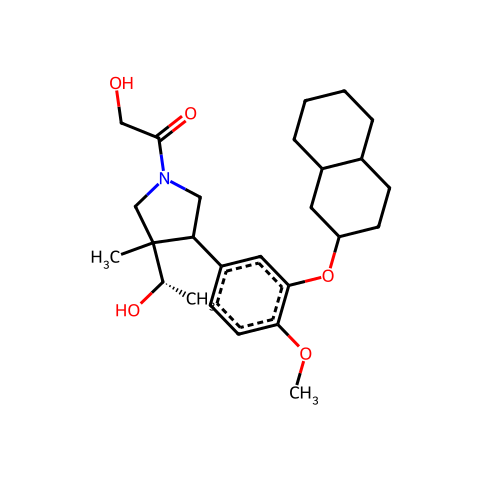 COc1ccc(C2CN(C(=O)CO)CC2(C)[C@H](C)O)cc1OC1CCC2CCCCC2C1